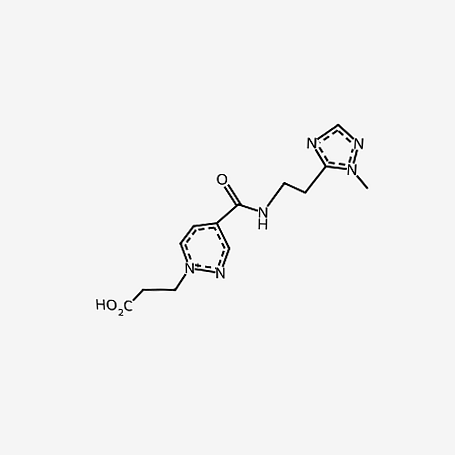 Cn1ncnc1CCNC(=O)c1cc[n+](CCC(=O)O)nc1